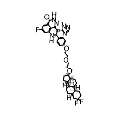 Cn1ncnc1[C@H]1c2n[nH]c(=O)c3cc(F)cc(c23)N[C@@H]1c1ccc(OCCOCCO[C@H]2CC[C@H]3[C@@H]4CC[C@H]5CC(F)(F)CC[C@]5(C)[C@H]4CC[C@]23C)cc1